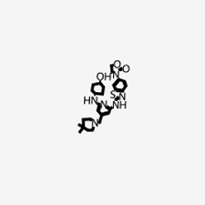 CC1(C)CCN(Cc2cc(Nc3nc4ccc(N5CCOC5=O)cc4s3)nc(N[C@H]3CC[C@H](O)CC3)c2)CC1